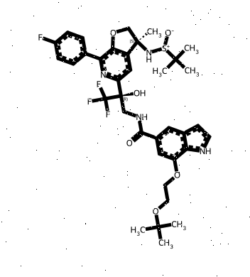 CC(C)(C)OCCOc1cc(C(=O)NC[C@@](O)(c2cc3c(c(-c4ccc(F)cc4)n2)OC[C@@]3(C)N[S+]([O-])C(C)(C)C)C(F)(F)F)cc2cc[nH]c12